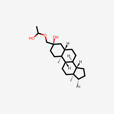 CC(=O)[C@H]1CC[C@H]2[C@@H]3CC[C@H]4C[C@@](O)(COC(C)O)CC[C@]4(C)[C@H]3CC[C@]12C